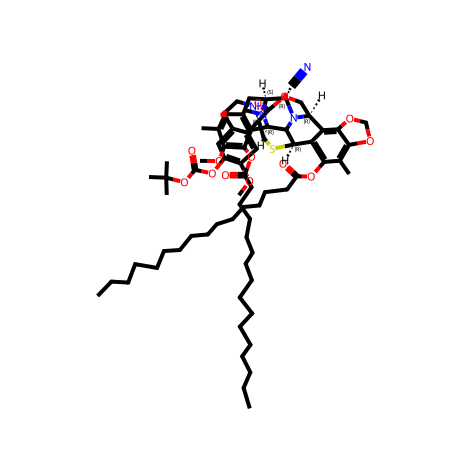 CCCCCCCCCCCCCCCC(=O)Oc1c(C)c2c(c3c1[C@H]1SC[C@]4(NCCc5cc(OC(=O)OC(C)(C)C)c(OC)cc54)C(=O)OC[C@@H]3N3C1[C@H]1c4c(cc(C)c(OC)c4OC(=O)CCCCCCCCCCCCCCC)C[C@@H]([C@@H]3C#N)N1C)OCO2